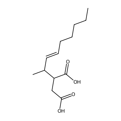 CCCCCC=CC(C)C(CC(=O)O)C(=O)O